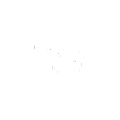 CC[C@@]1(O)C(=O)OCc2c1cc1n(c2=O)Cc2c(CC(=O)O)c3ccccc3[n+]([O-])c2-1